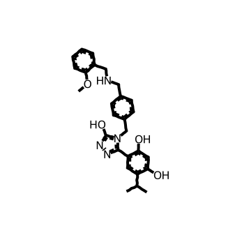 COc1ccccc1CNCc1ccc(Cn2c(O)nnc2-c2cc(C(C)C)c(O)cc2O)cc1